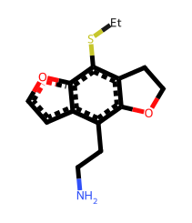 CCSc1c2c(c(CCN)c3ccoc13)OCC2